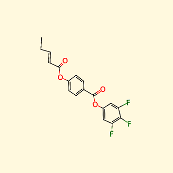 CC/C=C/C(=O)Oc1ccc(C(=O)Oc2cc(F)c(F)c(F)c2)cc1